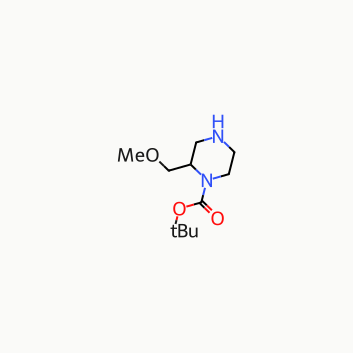 COCC1CNCCN1C(=O)OC(C)(C)C